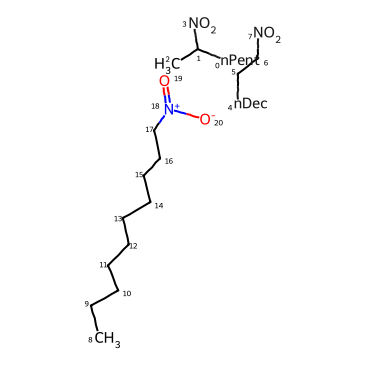 CCCCCC(C)[N+](=O)[O-].CCCCCCCCCCCC[N+](=O)[O-].CCCCCCCCCC[N+](=O)[O-]